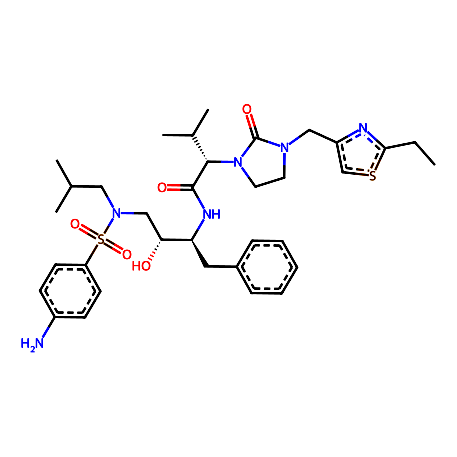 CCc1nc(CN2CCN([C@H](C(=O)N[C@@H](Cc3ccccc3)[C@H](O)CN(CC(C)C)S(=O)(=O)c3ccc(N)cc3)C(C)C)C2=O)cs1